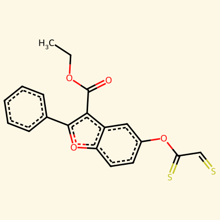 CCOC(=O)c1c(-c2ccccc2)oc2ccc(OC(=S)C=S)cc12